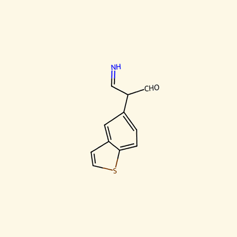 N=CC(C=O)c1ccc2sccc2c1